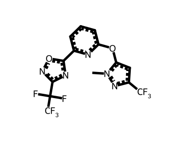 Cn1nc(C(F)(F)F)cc1Oc1cccc(-c2nc(C(F)(F)C(F)(F)F)no2)n1